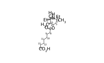 CCC1(C)CC(OC(=O)CCCCCCC(=O)O)C(C)C(C)(CC)N1